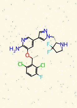 C[C@@H](Oc1cc(-c2cnn(C[C@@H]3NCCC3(F)F)c2)cnc1N)c1c(Cl)ccc(F)c1Cl